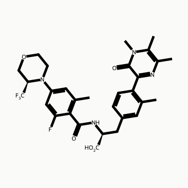 Cc1cc(C[C@H](NC(=O)c2c(C)cc(N3CCOC[C@@H]3C(F)(F)F)cc2F)C(=O)O)ccc1-c1nc(C)c(C)n(C)c1=O